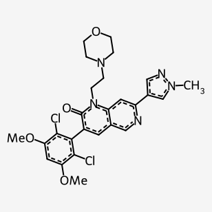 COc1cc(OC)c(Cl)c(-c2cc3cnc(-c4cnn(C)c4)cc3n(CCN3CCOCC3)c2=O)c1Cl